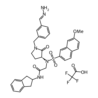 COc1ccc2ccc(S(=O)(=O)N(CC(=O)NC3Cc4ccccc4C3)[C@H]3CCN(Cc4cccc(C=NN)c4)C3=O)cc2c1.O=C(O)C(F)(F)F